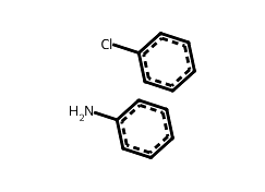 Clc1ccccc1.Nc1ccccc1